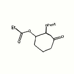 CCCCCC1C(=O)CCCC1OC(=O)CC